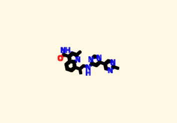 Cc1cc(C(N)=O)c2cccc(C(C)CNc3cc(-c4cnc(C)nc4)ncn3)c2n1